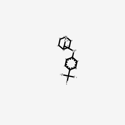 FC(F)(F)c1ccc(OC2CN3CCC2CC3)cc1